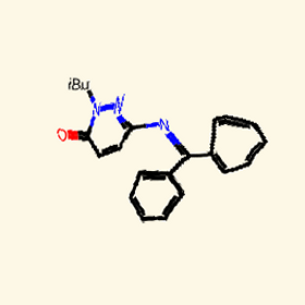 CCC(C)n1nc(N=C(c2ccccc2)c2ccccc2)ccc1=O